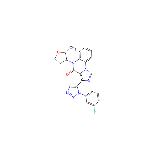 CC1OCCC1n1c(=O)c2c(-c3cnnn3-c3cccc(F)c3)ncn2c2ccccc21